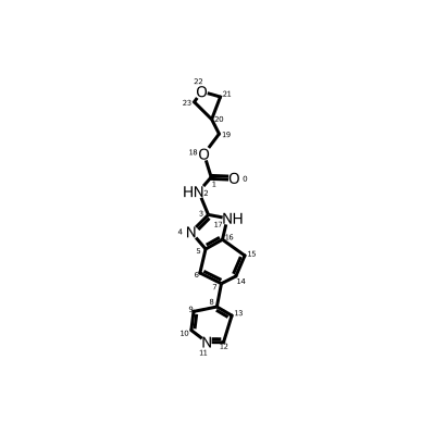 O=C(Nc1nc2cc(-c3ccncc3)ccc2[nH]1)OCC1COC1